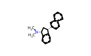 CN(C)[C@@H]1C[C@H](c2ccc3ccccc3c2)c2ccccc21